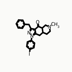 CN1CCC2Cc3c(c(Cc4ccccc4)nn3-c3ccc(I)cc3)C(=O)C2C1